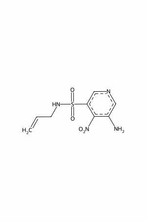 C=CCNS(=O)(=O)c1cncc(N)c1[N+](=O)[O-]